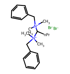 CCCC([N+](C)(C)Cc1ccccc1)[N+](C)(C)Cc1ccccc1.[Br-].[Br-]